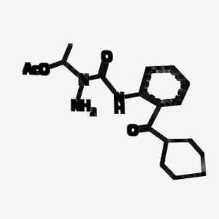 CC(=O)OC(C)N(N)C(=O)Nc1ccccc1C(=O)C1CCCCC1